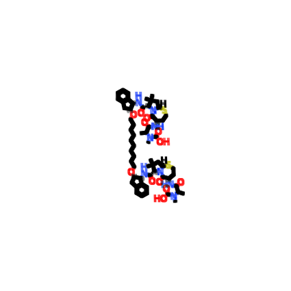 CC(C(=O)N[C@H]1CCS[C@H]2CC(C)(C)[C@@H](C(=O)N[C@H]3c4ccccc4C[C@H]3OCCCCCCCCCCO[C@@H]3Cc4ccccc4[C@@H]3NC(=O)[C@H]3N4C(=O)[C@@H](NC(=O)C(C)N(C)C(=O)O)CCS[C@H]4CC3(C)C)N2C1=O)N(C)C(=O)O